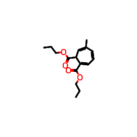 CCCOC(=O)C1=CC=CC(C)=CC1C(=O)OCCC